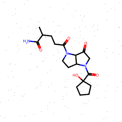 CC(C[CH]C(=O)N1CCC2C1C(=O)CN2C(=O)C1(O)CCCC1)C(N)=O